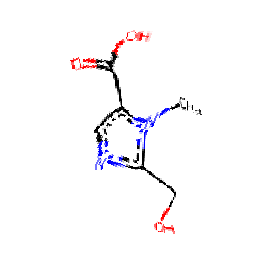 Cn1c(C(=O)O)cnc1CO